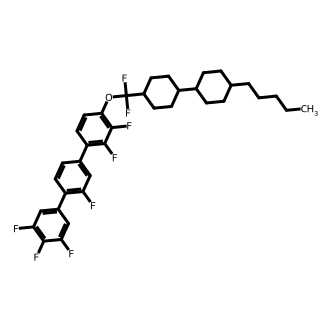 CCCCCC1CCC(C2CCC(C(F)(F)Oc3ccc(-c4ccc(-c5cc(F)c(F)c(F)c5)c(F)c4)c(F)c3F)CC2)CC1